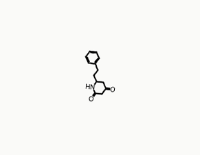 O=C1CC(=O)NC(CCc2ccccc2)C1